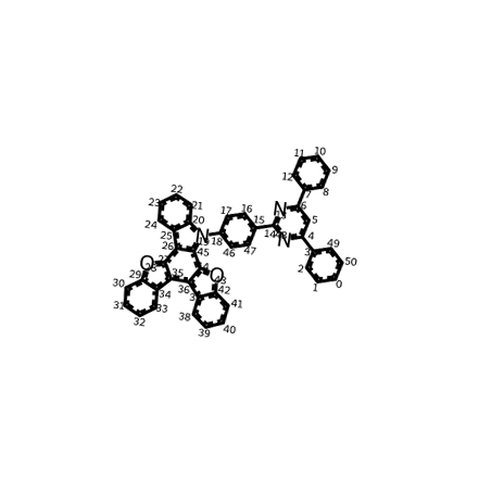 c1ccc(-c2cc(-c3ccccc3)nc(-c3ccc(-n4c5ccccc5c5c6oc7ccccc7c6c6c7ccccc7oc6c54)cc3)n2)cc1